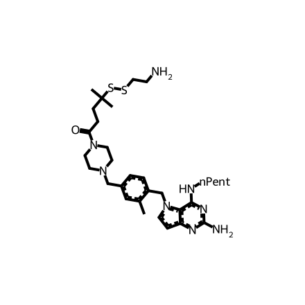 CCCCCNc1nc(N)nc2ccn(Cc3ccc(CN4CCN(C(=O)CCC(C)(C)SSCCN)CC4)cc3C)c12